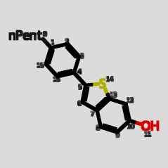 CCCCCc1ccc(-c2cc3ccc(O)cc3s2)cc1